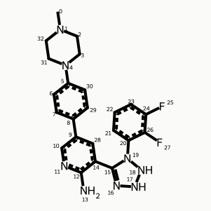 CN1CCN(c2ccc(-c3cnc(N)c(C4=NNNN4c4cccc(F)c4F)c3)cc2)CC1